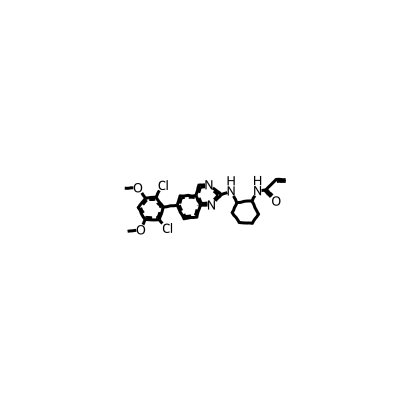 C=CC(=O)NC1CCCCC1Nc1ncc2cc(-c3c(Cl)c(OC)cc(OC)c3Cl)ccc2n1